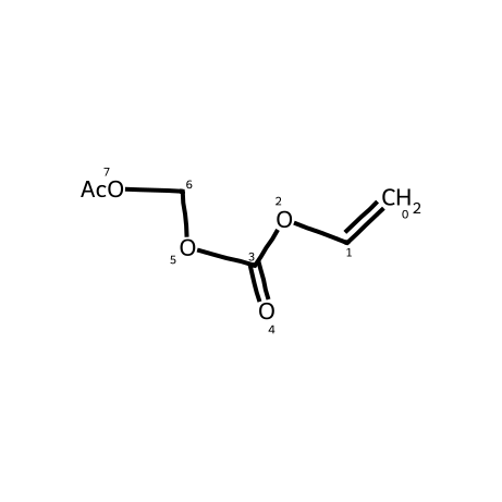 C=COC(=O)OCOC(C)=O